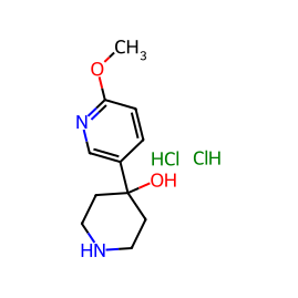 COc1ccc(C2(O)CCNCC2)cn1.Cl.Cl